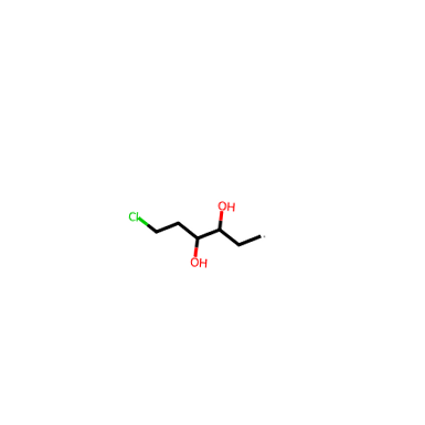 [CH2]CC(O)C(O)CCCl